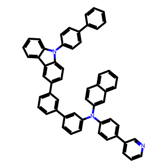 c1ccc(-c2ccc(-n3c4ccccc4c4cc(-c5cccc(-c6cccc(N(c7ccc(-c8cccnc8)cc7)c7ccc8ccccc8c7)c6)c5)ccc43)cc2)cc1